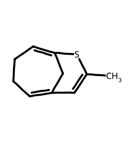 CC1=CC2=CCCC=C(C2)S1